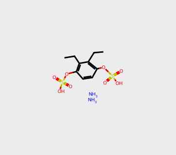 CCc1c(OS(=O)(=O)O)ccc(OS(=O)(=O)O)c1CC.N.N